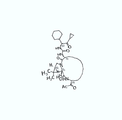 CC(=O)C(=O)[C@@H]1CCCCCCCCC[C@H](NC(=O)N[C@H](C(=O)C2CC2)C2CCCCC2)C(=O)N2C[C@H]3[C@@H]([C@H]2C(=O)N1)C3(C)C